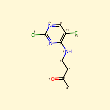 CC(=O)CCNc1nc(Cl)ncc1Cl